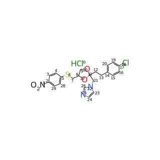 Cl.O=[N+]([O-])c1ccc(SCC2COC(CCc3ccc(Cl)cc3)(Cn3ccnc3)O2)cc1